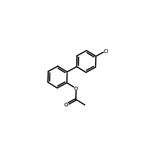 CC(=O)Oc1ccccc1-c1ccc(Cl)cc1